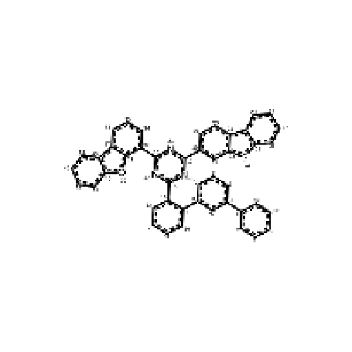 c1ccc(-c2cccc(-c3ccccc3-c3nc(-c4ccc5c(c4)sc4ccccc45)nc(-c4cccc5c4oc4ccccc45)n3)c2)cc1